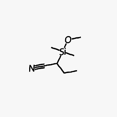 CCC(C#N)[Si](C)(C)OC